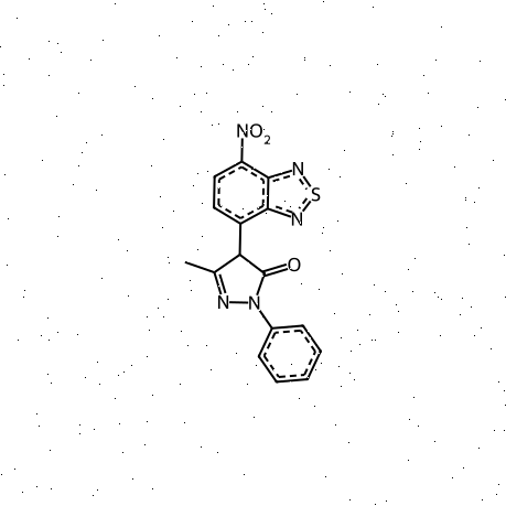 CC1=NN(c2ccccc2)C(=O)C1c1ccc([N+](=O)[O-])c2nsnc12